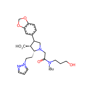 CCC(C)N(CCCO)C(=O)CN1CC(c2ccc3c(c2)OCO3)[C@H](C(=O)O)[C@H]1CCn1cccn1